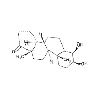 C[C@]12CC[C@H](O)[C@H](O)C1CC[C@@H]1[C@@H]2CC[C@]2(C)C(=O)CC[C@@H]12